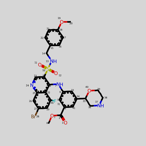 COC(=O)c1cc(Nc2c(S(=O)(=O)NCc3ccc(OC)cc3)cnc3cc(Br)cc(F)c23)cc(C2CNCCO2)c1